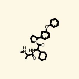 CNC(C)C(=O)NC(C(=O)N1CCCC1c1cccc(Oc2ccccc2)c1)C1CCCCC1